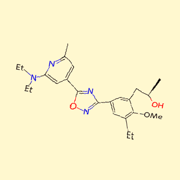 CCc1cc(-c2noc(-c3cc(C)nc(N(CC)CC)c3)n2)cc(C[C@@H](C)O)c1OC